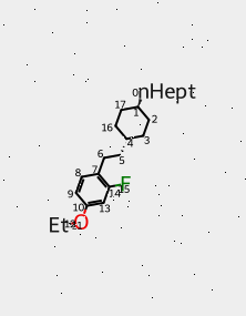 CCCCCCC[C@H]1CC[C@H](CCc2ccc(OCC)cc2F)CC1